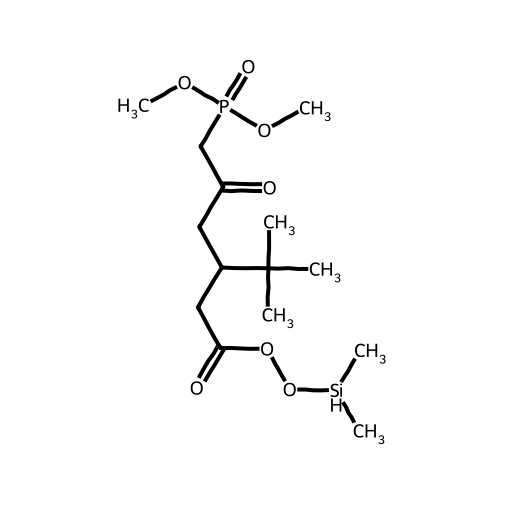 COP(=O)(CC(=O)CC(CC(=O)OO[SiH](C)C)C(C)(C)C)OC